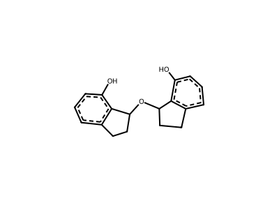 Oc1cccc2c1C(OC1CCc3cccc(O)c31)CC2